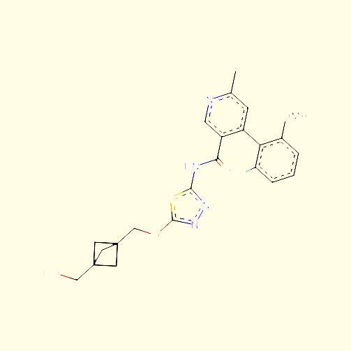 COc1cccc(F)c1-c1cc(C)ncc1C(=O)Nc1nnc(OCC23CC(CO)(C2)C3)s1